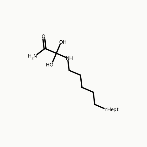 CCCCCCCCCCCCNC(O)(O)C(N)=O